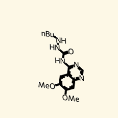 CCCCNNC(=O)Nc1ncnc2cc(OC)c(OC)cc12